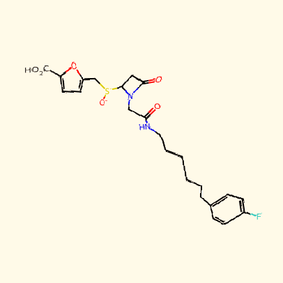 O=C(CN1C(=O)CC1[S+]([O-])Cc1ccc(C(=O)O)o1)NCCCCCCc1ccc(F)cc1